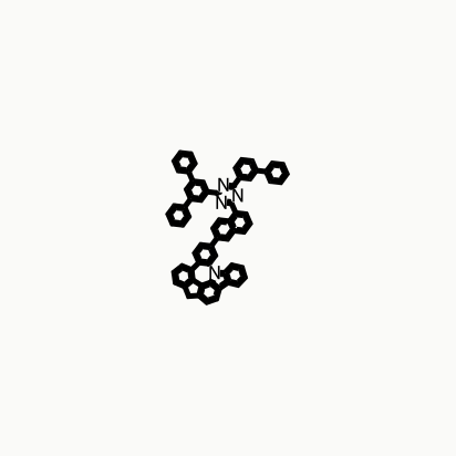 c1ccc(-c2cccc(-c3nc(-c4cc(-c5ccccc5)cc(-c5ccccc5)c4)nc(-c4cccc5cc(-c6ccc7c(c6)-n6c8ccccc8c8ccc9c(c86)-c6c(cccc6-7)C9)ccc45)n3)c2)cc1